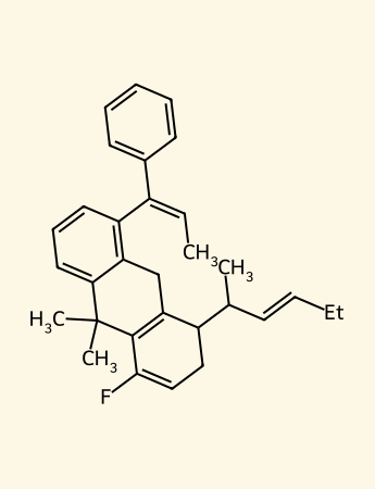 C/C=C(/c1ccccc1)c1cccc2c1CC1=C(C(F)=CCC1C(C)C=CCC)C2(C)C